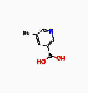 CCc1cncc(B(O)O)c1